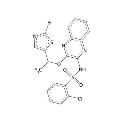 O=S(=O)(Nc1nc2ccccc2nc1OC(c1cnc(Br)s1)C(F)(F)F)c1ccccc1Cl